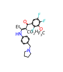 CCC(Nc1ccc(CN2CCCC2)cc1)=C(C(=O)O)C(=O)c1cc(F)c(F)c(OC(F)(F)F)c1F